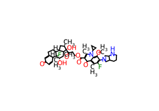 COc1c(N2CC3CCCNC3C2)c(F)c(C)c2c(=O)c(C(=O)OCCC(=O)[C@@]3(O)[C@H](C)C[C@H]4[C@@H]5CCC6=CC(=O)C=C[C@]6(C)[C@@]5(F)[C@@H](O)C[C@@]43C)c(C)n(C3CC3)c12